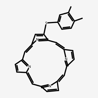 Cc1ccc(SC2=CC3=CC4=NC(=CC5=NC(=CC6=NC(=CC2=N3)C=C6)C=C5)C=C4)cc1C